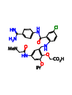 CNCC(=O)Nc1cc(CNc2ccc(Cl)cc2C(=O)Nc2ccc(C(=N)N)cc2)c(OCC(=O)O)c(OC(C)C)c1